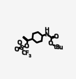 C=C(OS(=O)(=O)C(F)(F)F)C1CCC(NC(=O)OC(C)(C)C)CC1